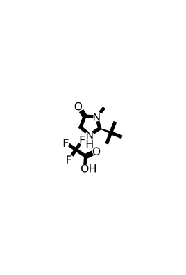 CN1C(=O)CN[C@@H]1C(C)(C)C.O=C(O)C(F)(F)F